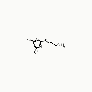 NCCCSc1nc(Cl)nc(Cl)n1